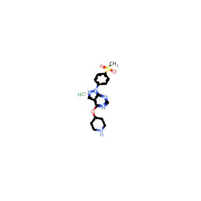 CS(=O)(=O)c1ccc(-n2ncc3c(OC4CCNCC4)ncnc32)cc1.Cl